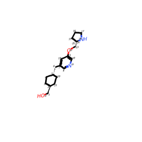 OC[C@H]1CC[C@H](Cc2cncc(OC[C@@H]3CCCN3)c2)CC1